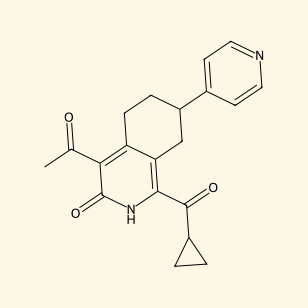 CC(=O)c1c2c(c(C(=O)C3CC3)[nH]c1=O)CC(c1ccncc1)CC2